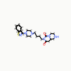 O=C1CC2CNCCN2C(=O)N1CCCCN1CCN(c2nsc3ccccc23)CC1